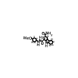 COc1ccc(NNC(=O)c2nc(C(N)=O)cc3c2[nH]c2ccccc23)cc1